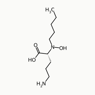 CCCCCN(O)[C@H](CCCN)C(=O)O